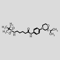 CC(C)[C@@H]1CN(c2ccc(NC(=O)CCCCNS(=O)(=O)C(C)(C)C)cc2)CCO1